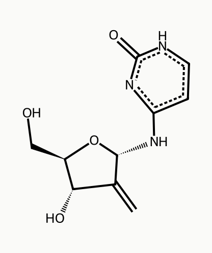 C=C1[C@@H](Nc2cc[nH]c(=O)n2)O[C@H](CO)[C@H]1O